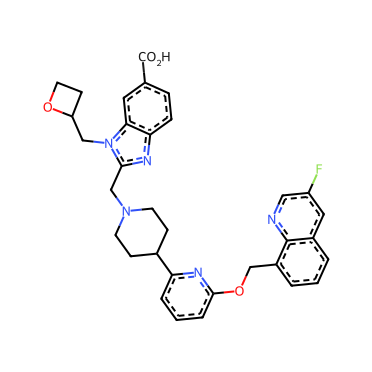 O=C(O)c1ccc2nc(CN3CCC(c4cccc(OCc5cccc6cc(F)cnc56)n4)CC3)n(CC3CCO3)c2c1